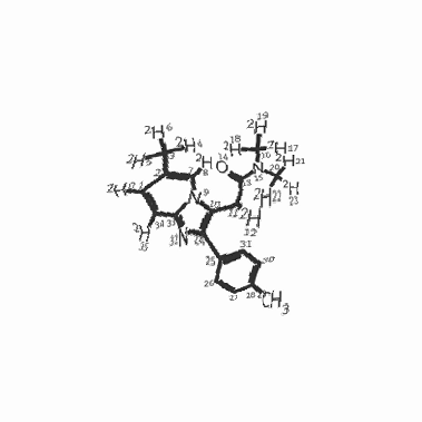 [2H]c1c(C([2H])([2H])[2H])c([2H])n2c(C([2H])C(=O)N(C([2H])([2H])[2H])C([2H])([2H])[2H])c(-c3ccc(C)cc3)nc2c1[2H]